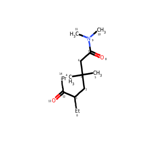 CCC(CC(C)(C)CC(=O)N(C)C)C(=O)C(C)C